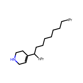 CCCC(CCCCCCCC(C)C)C1=CCNCC1